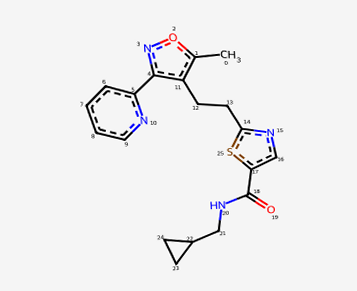 Cc1onc(-c2ccccn2)c1CCc1ncc(C(=O)NCC2CC2)s1